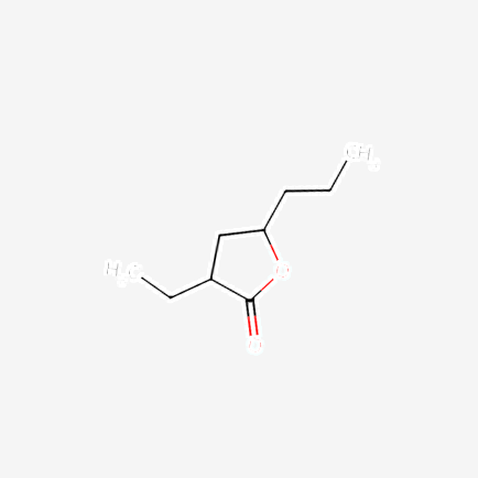 CCCC1CC(CC)C(=O)O1